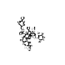 COc1ccc(COC(=O)C2=C(/C=C\c3ccc(C=O)cc3)CS[C@@H]3[C@H](NC(=O)Cc4ccccc4)C(=O)N23)cc1